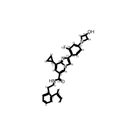 C/C=C(/C)c1ccccc1CCNC(=O)c1cc(C2CC2)c2nc(-c3ccc(N4CC(O)C4)cc3F)cn2c1